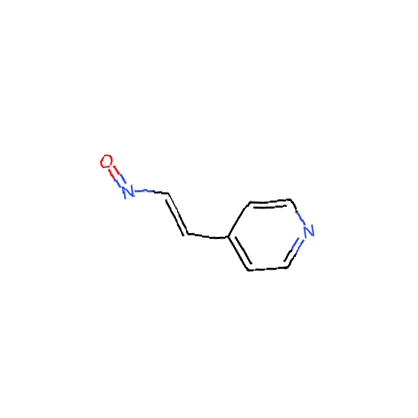 O=N/C=C/c1ccncc1